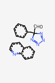 O=CC1(c2ccccc2)N=NN=N1.c1ccc2ncccc2c1